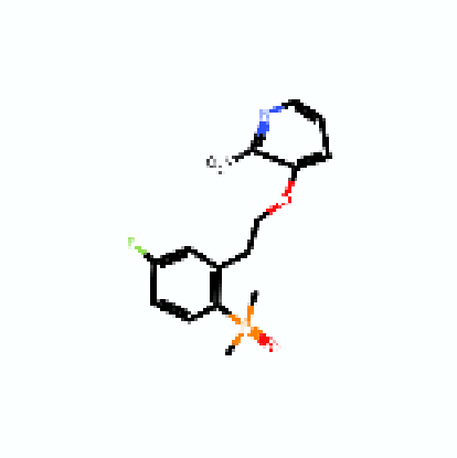 CP(C)(=O)c1ccc(F)cc1CCOc1cccnc1[N+](=O)[O-]